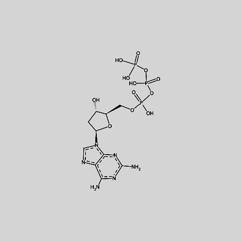 Nc1nc(N)c2ncn([C@H]3C[C@H](O)[C@@H](COP(=O)(O)OP(=O)(O)OP(=O)(O)O)O3)c2n1